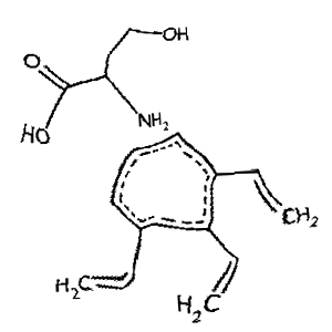 C=Cc1cccc(C=C)c1C=C.NC(CO)C(=O)O